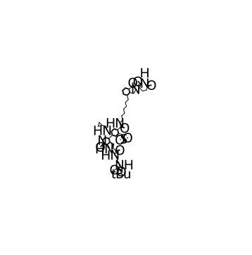 Cn1cc(-c2cc(CS(C)(=O)=O)c(C(=O)NCCCCCCCc3cccc4c3CN(C3CCC(=O)NC3=O)C4=O)cc2NCC2CC2)c2cc(C(=O)NCCNC(=O)OC(C)(C)C)[nH]c2c1=O